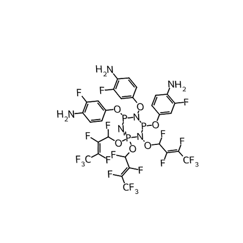 Nc1ccc(ON2P(Oc3ccc(N)c(F)c3)N=P(OC(F)C(F)=C(F)C(F)(F)F)(OC(F)C(F)=C(F)C(F)(F)F)N(OC(F)C(F)=C(F)C(F)(F)F)P2Oc2ccc(N)c(F)c2)cc1F